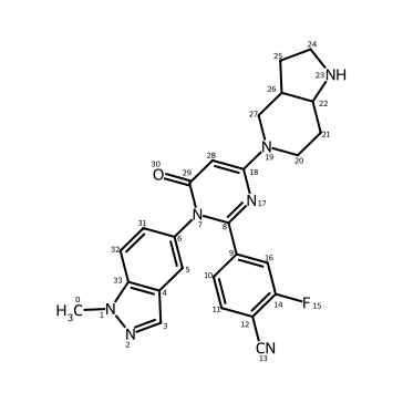 Cn1ncc2cc(-n3c(-c4ccc(C#N)c(F)c4)nc(N4CCC5NCCC5C4)cc3=O)ccc21